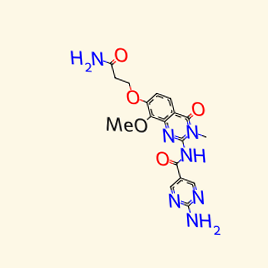 COc1c(OCCC(N)=O)ccc2c(=O)n(C)c(NC(=O)c3cnc(N)nc3)nc12